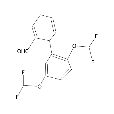 O=CC1=CCC=CC1c1cc(OC(F)F)ccc1OC(F)F